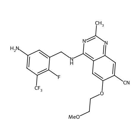 COCCOc1cc2c(NCc3cc(N)cc(C(F)(F)F)c3F)nc(C)nc2cc1C#N